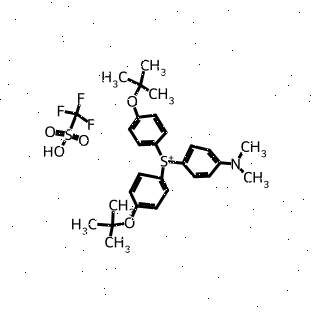 CN(C)c1ccc([S+](c2ccc(OC(C)(C)C)cc2)c2ccc(OC(C)(C)C)cc2)cc1.O=S(=O)(O)C(F)(F)F